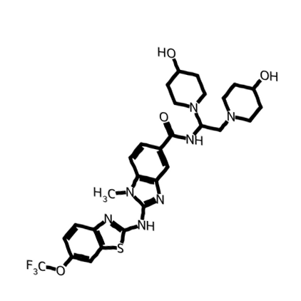 Cn1c(Nc2nc3ccc(OC(F)(F)F)cc3s2)nc2cc(C(=O)NC(CN3CCC(O)CC3)N3CCC(O)CC3)ccc21